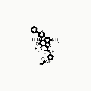 C=CC(=O)N[C@@H]1CC[C@H](NC(=O)c2sc3c(N)ccc4c3c2C(N)C(=O)C4(N)c2ccnc(-c3ccccc3)c2)C1